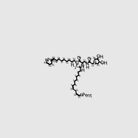 C=C(CCCCCCC/C=C\C/C=C\CCCCC)NC(CNC(=O)CN1C[C@@H](O)[C@H](O)C1)C(=O)OCCCCCCCC/C=C\C/C=C\CCCCC